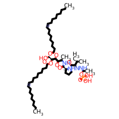 CCCCCCCC/C=C\CCCCCCCC(=O)OC(C(=O)[C@H](C)NC(=O)[C@@H]1CCCN1C(=O)[C@@H](NNC(C)OP(=O)(O)O)C(C)C)[C@H](CO)OC(=O)CCCCCCC/C=C\CCCCCCCC